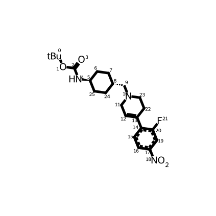 CC(C)(C)OC(=O)N[C@H]1CC[C@H](CN2CC=C(c3ccc([N+](=O)[O-])cc3F)CC2)CC1